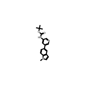 Cn1ccc2cc(-c3cncc(NC(=O)OC(C)(C)C)c3)ccc21